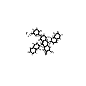 Fc1cc2c(-c3ccc4ccccc4c3)c3ccc(-c4cccc(C(F)(F)F)c4)cc3c(-c3ccc4ccccc4c3)c2cc1F